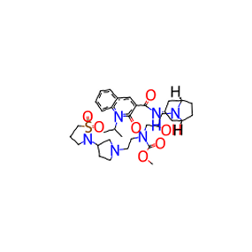 COC(=O)N(CCN1CCC(N2CCCS2(=O)=O)C1)CC(O)CN1[C@@H]2CC[C@H]1C[C@@H](NC(=O)c1cc3ccccc3n(C(C)C)c1=O)C2